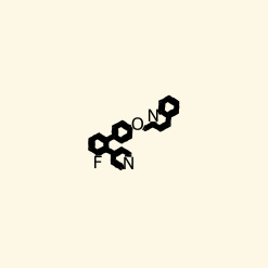 Fc1cccc(-c2ccc(OCc3ccc4ccccc4n3)cc2)c1-c1ccncc1